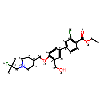 CCOC(=O)c1ccc(-c2ccc(OCC3CCN(CC(C)(C)F)CC3)c(CO)c2)cc1F